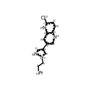 CC(C)CCn1cc(-c2cnc3ccc(Cl)nc3c2)cn1